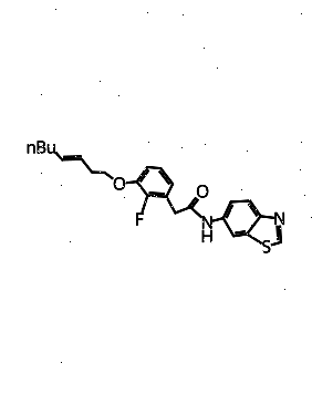 CCCC/C=C/CCOc1cccc(CC(=O)Nc2ccc3ncsc3c2)c1F